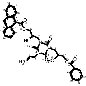 C=CCN1C(=O)N(CC(O)COC(=O)c2c3ccccc3cc3ccccc23)C(=O)N(CC(O)COC(=O)c2ccccc2)C1O